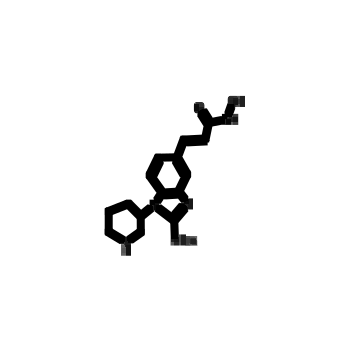 CCCCCCc1nc2cc(C=CC(=O)NO)ccc2n1C1CCCNC1